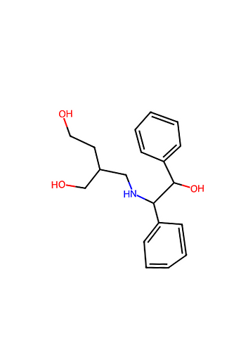 OCCC(CO)CNC(c1ccccc1)C(O)c1ccccc1